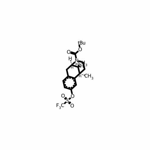 C[C@H]1[C@H]2Cc3ccc(OS(=O)(=O)C(F)(F)F)cc3[C@]1(C)CCN2C(=O)OC(C)(C)C